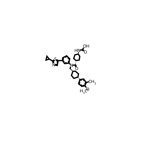 COc1ccc([C@H]2CC[C@H](CN(c3cccc(-c4cnc(C5CC5)s4)c3)C(=O)[C@H]3CC[C@H](NC(=O)O)CC3)CC2)cc1C